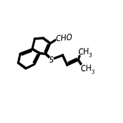 CC(C)=CCSC1=C(C=O)CCC2=CCCC=C21